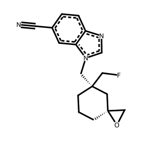 N#Cc1ccc2ncn(C[C@@]3(CF)CCC[C@@]4(CO4)C3)c2c1